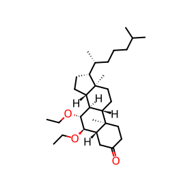 CCO[C@H]1[C@H](OCC)[C@H]2CC(=O)CC[C@]2(C)[C@H]2CC[C@]3(C)[C@@H]([C@H](C)CCCC(C)C)CC[C@H]3[C@H]12